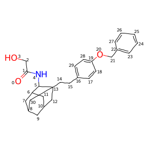 O=C(CO)NC1C2CC3CC(C2)CC1(CCc1ccc(OCc2ccccc2)cc1)C3